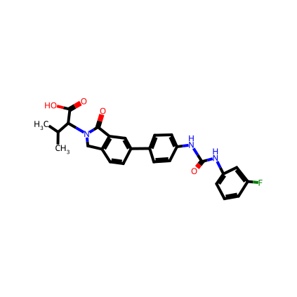 CC(C)C(C(=O)O)N1Cc2ccc(-c3ccc(NC(=O)Nc4cccc(F)c4)cc3)cc2C1=O